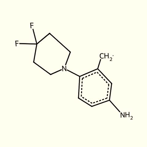 [CH2]c1cc(N)ccc1N1CCC(F)(F)CC1